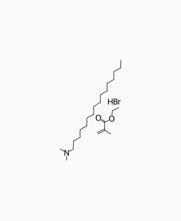 Br.C=C(C)C(=O)OCC.CCCCCCCCCCCCCCCCN(C)C